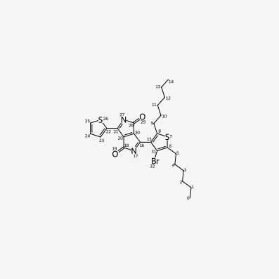 CCCCCCc1sc(CCCCCC)c(-c2nc(=O)c3c(-c4cccs4)nc(=O)c2=3)c1Br